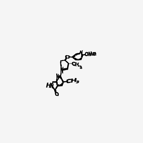 COc1ccc(OC2CCN(c3nc4c(cc3C)C(=O)NC4)C[C@H]2C)cn1